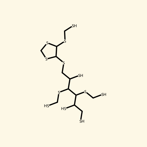 SCSC1SCSC1SCC(S)C(SCS)C(SCS)C(S)CS